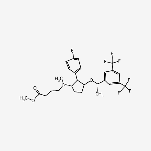 COC(=O)CCCN(C)C1CCC(O[C@@H](C)c2cc(C(F)(F)F)cc(C(F)(F)F)c2)C1c1ccc(F)cc1